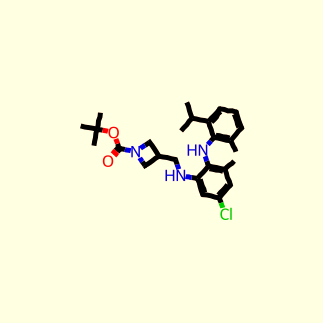 Cc1cc(Cl)cc(NCC2CN(C(=O)OC(C)(C)C)C2)c1Nc1c(C)cccc1C(C)C